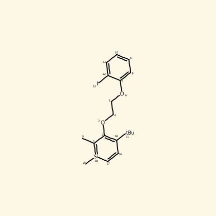 Cc1c(OCCOc2ccccc2I)c(C(C)(C)C)cc[si]1C